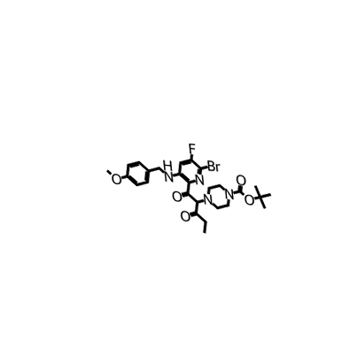 CCC(=O)C(C(=O)c1nc(Br)c(F)cc1NCc1ccc(OC)cc1)N1CCN(C(=O)OC(C)(C)C)CC1